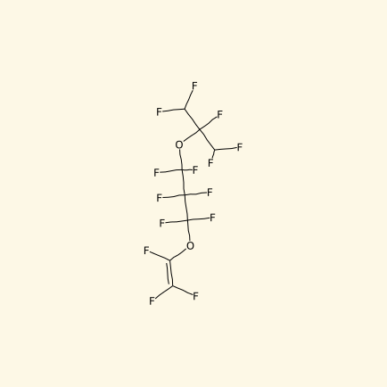 FC(F)=C(F)OC(F)(F)C(F)(F)C(F)(F)OC(F)(C(F)F)C(F)F